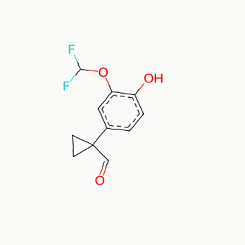 O=CC1(c2ccc(O)c(OC(F)F)c2)CC1